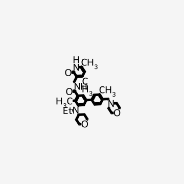 CCN(c1cc(-c2ccc(CN3CCOCC3)c(C)c2)cc(C(=O)NCc2c(C)cc(C)[nH]c2=O)c1C)C1CCOCC1